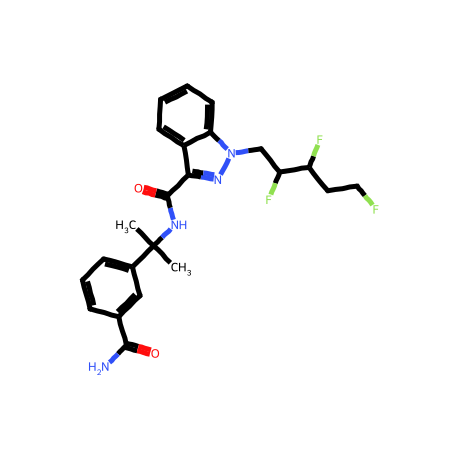 CC(C)(NC(=O)c1nn(CC(F)C(F)CCF)c2ccccc12)c1cccc(C(N)=O)c1